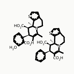 CC1=C(C(=O)O)[C@@H](c2ccccc2)[C@@H](C(=O)O)[C@@]2(C)c3sccc3CCN12.CC1=C(C(=O)O)[C@@H](c2ccccc2)[C@@H](C(=O)O)[C@@]2(C)c3sccc3CCN12.O